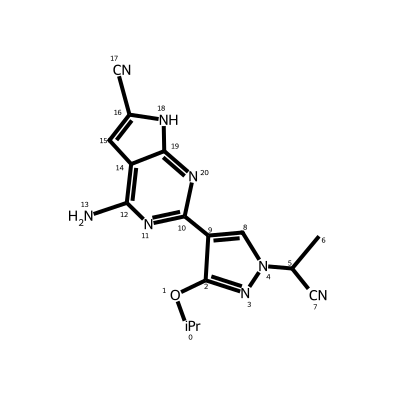 CC(C)Oc1nn(C(C)C#N)cc1-c1nc(N)c2cc(C#N)[nH]c2n1